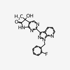 CC1(O)C(=O)Nc2nc(-c3nn(Cc4ccccc4F)c4ncccc34)ncc21